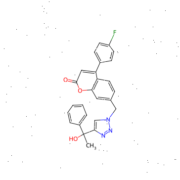 CC(O)(c1ccccc1)c1cn(Cc2ccc3c(-c4ccc(F)cc4)cc(=O)oc3c2)nn1